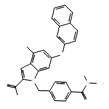 CN(C)C(=O)c1ccc(Cn2c(C(=O)O)cc3c(Br)cc(Sc4ccc5ccccc5c4)cc32)cc1